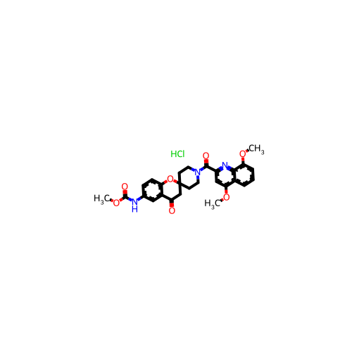 COC(=O)Nc1ccc2c(c1)C(=O)CC1(CCN(C(=O)c3cc(OC)c4cccc(OC)c4n3)CC1)O2.Cl